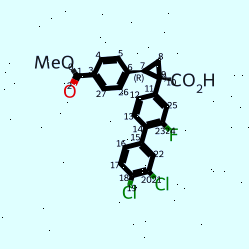 COC(=O)c1ccc([C@H]2C[C@]2(C(=O)O)c2ccc(-c3ccc(Cl)c(Cl)c3)c(F)c2)cc1